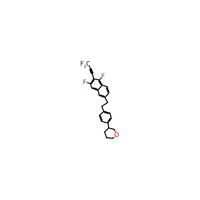 Fc1cc2cc(CCc3ccc(C4CCCOC4)cc3)ccc2c(F)c1C#CC(F)(F)F